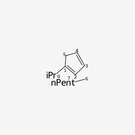 CC(C)C1=CC=CC1.CCCCCC